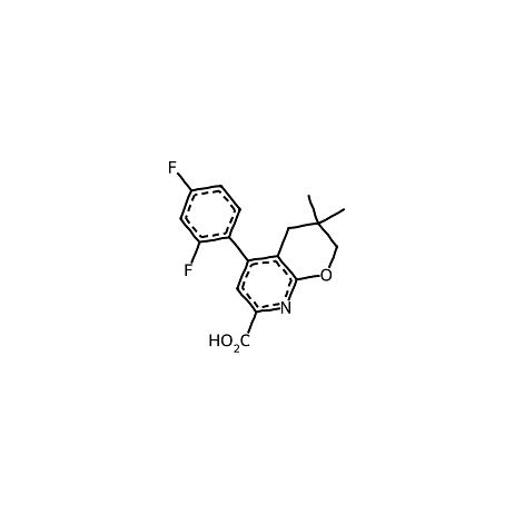 CC1(C)COc2nc(C(=O)O)cc(-c3ccc(F)cc3F)c2C1